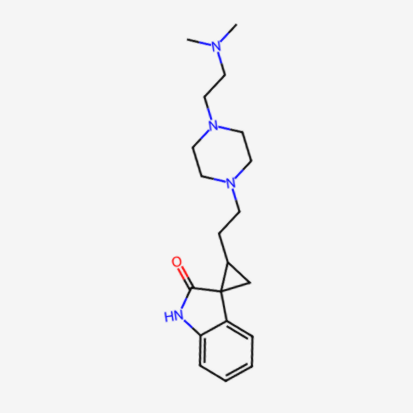 CN(C)CCN1CCN(CCC2CC23C(=O)Nc2ccccc23)CC1